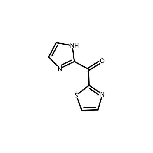 O=C(c1ncc[nH]1)c1nccs1